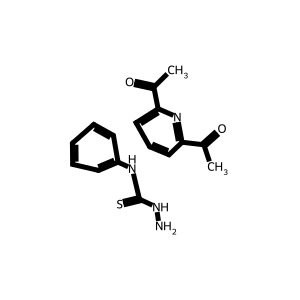 CC(=O)c1cccc(C(C)=O)n1.NNC(=S)Nc1ccccc1